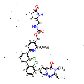 COc1nc(-c2cccc(-c3cccc(-c4cc5c(=O)n(C)c(C=O)nn5c4)c3Cl)c2Cl)ccc1COC(=O)NCC1CCC(=O)N1